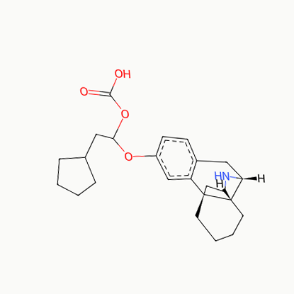 O=C(O)OC(CC1CCCC1)Oc1ccc2c(c1)[C@@]13CCCC[C@H]1[C@@H](C2)NCC3